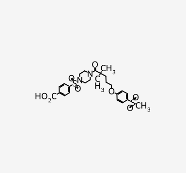 CC(C)(CCCOc1ccc(S(C)(=O)=O)cc1)C(=O)N1CCN(S(=O)(=O)c2ccc(C(=O)O)cc2)CC1